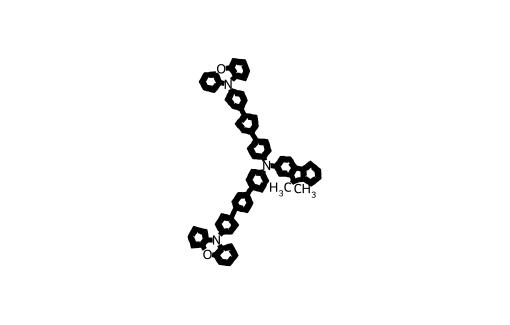 CC1(C)c2ccccc2-c2ccc(N(c3ccc(-c4ccc(-c5ccc(N6c7ccccc7Oc7ccccc76)cc5)cc4)cc3)c3ccc(-c4ccc(-c5ccc(N6c7ccccc7Oc7ccccc76)cc5)cc4)cc3)cc21